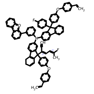 C#C/C(=C\C=C(/C)F)C1(c2ccc(Oc3ccc(C=C)cc3)cc2)C2=C(CCC=C2)c2ccc(N(c3cccc(-c4cccc5c4oc4ccccc45)c3)c3ccc4c(c3)C(c3ccc(F)cc3)(c3ccc(Oc5ccc(C=C)cc5)cc3)c3ccccc3-4)cc21